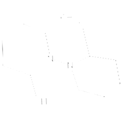 CC1CCCCN1N1C(C)CCCC1C